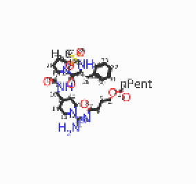 CCCCCC(=O)OCCCC(=O)/N=C(/N)N1CCC(CNC(=O)[C@@H]2CCCN2C(=O)[C@@H](Cc2ccccc2)NS(C)(=O)=O)CC1